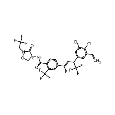 C=Cc1cc(C(/C=C(\F)c2ccc(C(=O)N[C@@H]3CON(CC(F)(F)F)C3=O)c(C(F)(F)F)c2)C(F)(F)F)cc(Cl)c1Cl